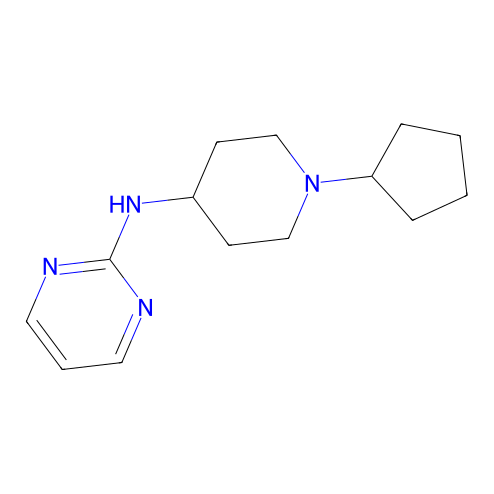 c1cnc(NC2CCN(C3CCCC3)CC2)nc1